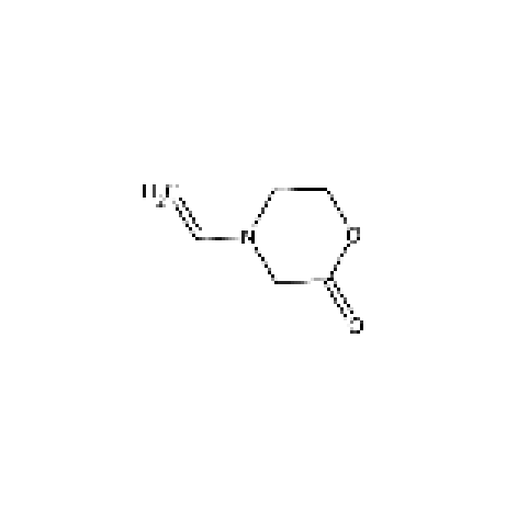 C=CN1CCOC(=O)C1